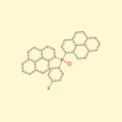 O=P(c1ccc(F)cc1)(c1ccc2ccc3cccc4ccc1c2c34)c1ccc2ccc3cccc4ccc1c2c34